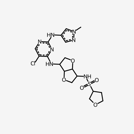 Cn1cc(Nc2ncc(Cl)c(NC3COC4C(NS(=O)(=O)C5CCOC5)COC34)n2)cn1